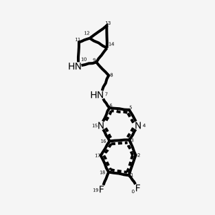 Fc1cc2ncc(NCC3NCC4CC43)nc2cc1F